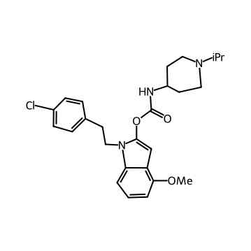 COc1cccc2c1cc(OC(=O)NC1CCN(C(C)C)CC1)n2CCc1ccc(Cl)cc1